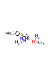 COc1ccc(Sc2nc(N)nc3c2ncn3CCOC(P)CC(F)(F)F)cc1